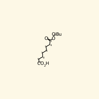 CC(C)COOC(=O)CCCCCCC(=O)O